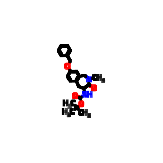 CN1Cc2cc(OCc3ccccc3)ccc2CC(NC(=O)OC(C)(C)C)C1=O